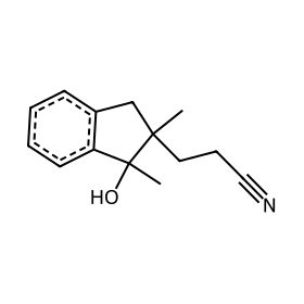 CC1(CCC#N)Cc2ccccc2C1(C)O